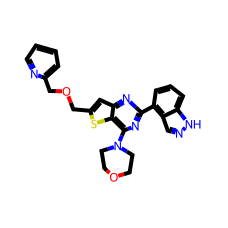 c1ccc(COCc2cc3nc(-c4cccc5[nH]ncc45)nc(N4CCOCC4)c3s2)nc1